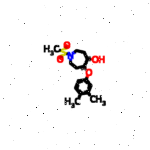 Cc1ccc(O[C@@H]2CCN(S(C)(=O)=O)CC[C@H]2O)cc1C